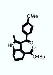 COc1ccc(C(=O)c2c(C)[nH]c3cccc(C(=O)OC(C)(C)C)c23)cc1